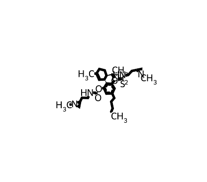 C=C(C)[C@@H]1CCC(C)=C[C@H]1c1c(OC(=O)NCCC2CN2C)cc(CCCCC)cc1OC(=S)NCCC1CN1C